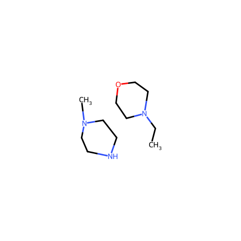 CCN1CCOCC1.CN1CCNCC1